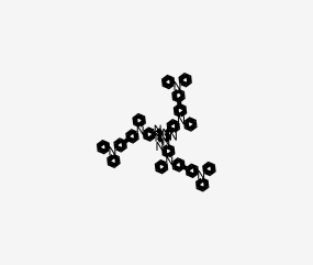 C1=CC(N(c2ccccc2)c2ccccc2)CC=C1c1ccc(N(c2ccccc2)c2ccc3c(c2)nc2n3c3nc4cc(N(c5ccccc5)c5ccc(-c6ccc(N(c7ccccc7)c7ccccc7)cc6)cc5)ccc4n3c3nc4cc(N(c5ccccc5)c5ccc(-c6ccc(N(c7ccccc7)c7ccccc7)cc6)cc5)ccc4n23)cc1